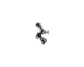 COC(=O)c1ccc(CCN2C(=O)CC[C@@H]2CC[C@@H](O)[C@@H](C)CCCCc2ccccc2)cc1